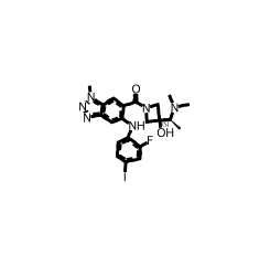 C[C@H](N(C)C)C1(O)CN(C(=O)c2cc3c(cc2Nc2ccc(I)cc2F)nnn3C)C1